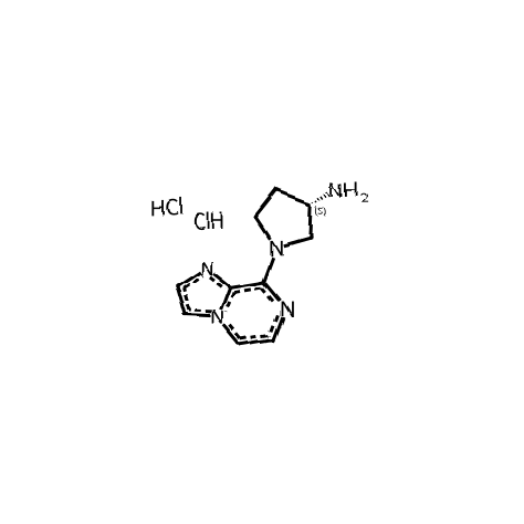 Cl.Cl.N[C@H]1CCN(c2nccn3ccnc23)C1